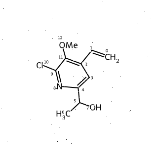 C=Cc1cc(C(C)O)nc(Cl)c1OC